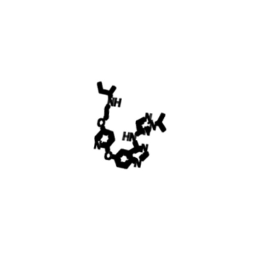 CCC(C)NCCOc1ccc(Oc2ccc3ncnc(Nc4cnn(C(C)C)n4)c3c2)nc1